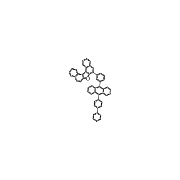 c1ccc(-c2ccc(-c3c4ccccc4c(-c4cccc(-c5cc6ccccc6c6c5oc5ccc7ccccc7c56)c4)c4ccccc34)cc2)cc1